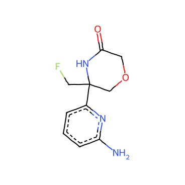 Nc1cccc(C2(CF)COCC(=O)N2)n1